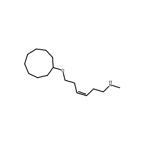 CNCC/C=C\CCOC1CCCCCCCC1